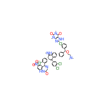 CN(C)CCOC(c1ccccc1)c1ccccc1.CN[C@H]1CC[C@@H](c2ccc(Cl)c(Cl)c2)c2ccccc21.Cn1c(=O)c2[nH]c(Cl)nc2n(C)c1=O.O=C1CN=C(c2ccccc2Cl)c2cc([N+](=O)[O-])ccc2N1